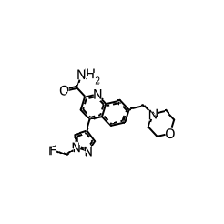 NC(=O)c1cc(-c2cnn(CF)c2)c2ccc(CN3CCOCC3)cc2n1